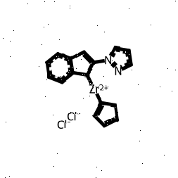 C1=CC[C]([Zr+2][CH]2C(n3cccn3)=Cc3ccccc32)=C1.[Cl-].[Cl-]